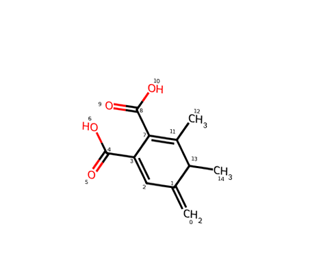 C=C1C=C(C(=O)O)C(C(=O)O)=C(C)C1C